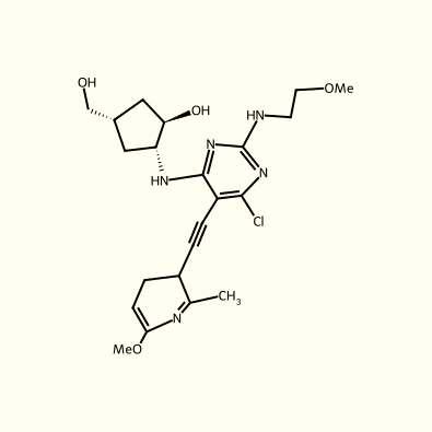 COCCNc1nc(Cl)c(C#CC2CC=C(OC)N=C2C)c(N[C@@H]2C[C@H](CO)C[C@H]2O)n1